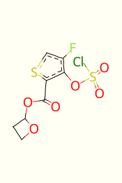 O=C(OC1CCO1)c1scc(F)c1OS(=O)(=O)Cl